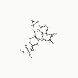 CCS(=O)(=O)Nc1ccc(OCC2CC2)c(-c2cn(C)c(=O)c3ccccc23)c1